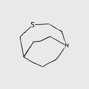 C1CN2CCC(CC2)CS1